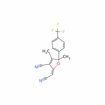 CC1=C(C#N)/C(=C\C#N)OC1(C)c1ccc(C(F)(F)F)cc1